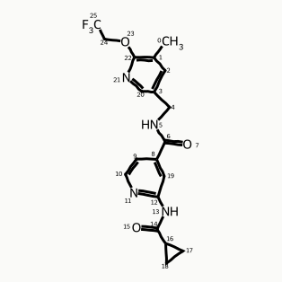 Cc1cc(CNC(=O)c2ccnc(NC(=O)C3CC3)c2)cnc1OCC(F)(F)F